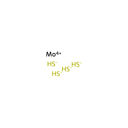 [Mo+4].[SH-].[SH-].[SH-].[SH-]